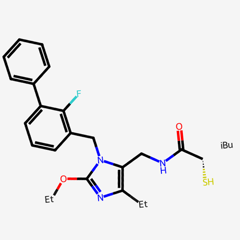 CCOc1nc(CC)c(CNC(=O)[C@@H](S)[C@H](C)CC)n1Cc1cccc(-c2ccccc2)c1F